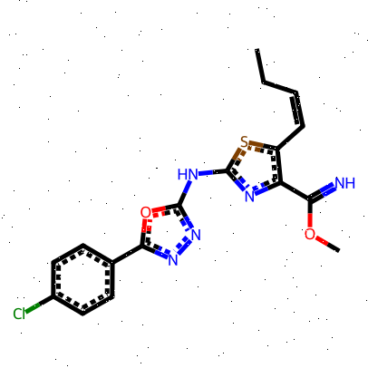 CC/C=C\c1sc(Nc2nnc(-c3ccc(Cl)cc3)o2)nc1C(=N)OC